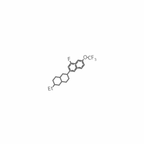 CCC1CCC2CC(c3cc(F)c4cc(OC(F)(F)F)ccc4c3)CCC2C1